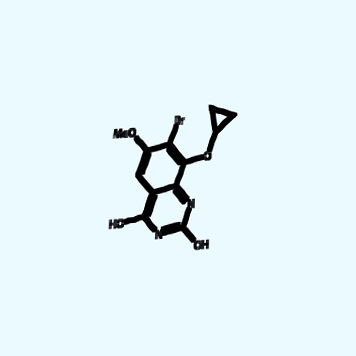 COc1cc2c(O)nc(O)nc2c(OC2CC2)c1Br